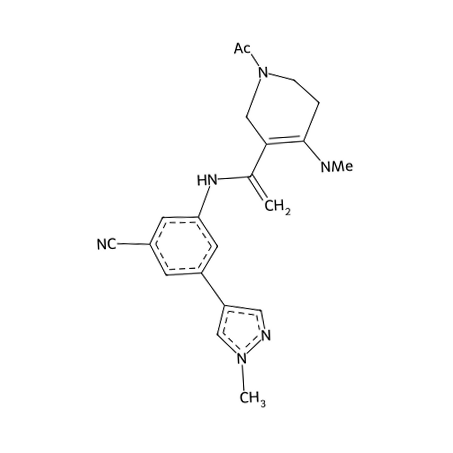 C=C(Nc1cc(C#N)cc(-c2cnn(C)c2)c1)C1=C(NC)CCN(C(C)=O)C1